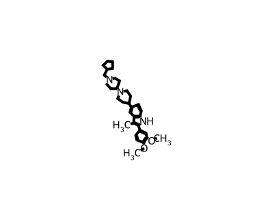 COc1ccc(-c2[nH]c3ccc(C4CCN(C5CCN(CC6CCCC6)CC5)CC4)cc3c2C)cc1OC